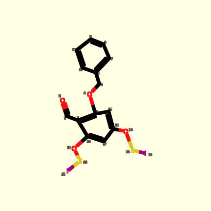 O=Cc1c(OCc2ccccc2)cc(OSI)cc1OSI